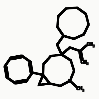 C=C(C)CC1(CC2CCCCCCCC2)CCN(C)CC2CC2(C2=C/C=C\C=C/C=C\2)CC1